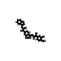 COc1cc(NC(=O)Cc2csc3ccccc23)ccc1C=NNC(=O)c1ccc(O)c(Cl)c1